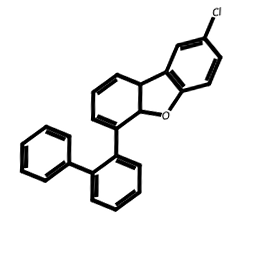 Clc1ccc2c(c1)C1C=CC=C(c3ccccc3-c3ccccc3)C1O2